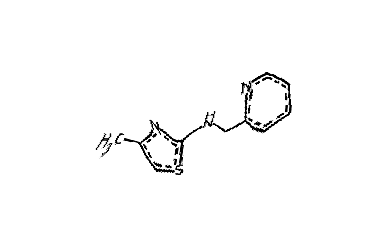 Cc1csc(NCc2ccccn2)n1